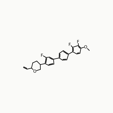 C=CC1CCC(c2ccc(-c3ccc(-c4ccc(OC)c(F)c4F)cc3)cc2F)CO1